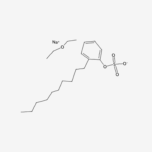 CCCCCCCCCCc1ccccc1OS(=O)(=O)[O-].CCOCC.[Na+]